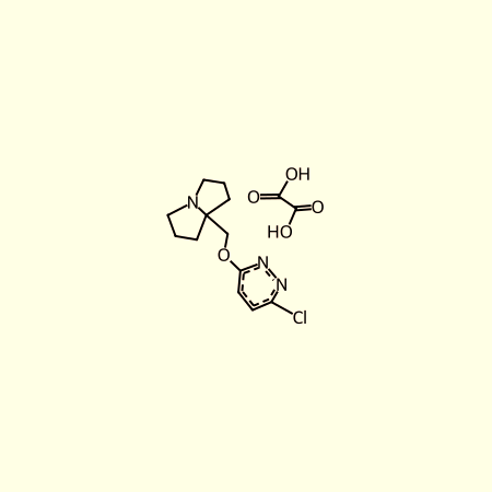 Clc1ccc(OCC23CCCN2CCC3)nn1.O=C(O)C(=O)O